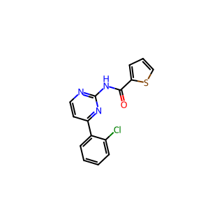 O=C(Nc1nccc(-c2ccccc2Cl)n1)c1cccs1